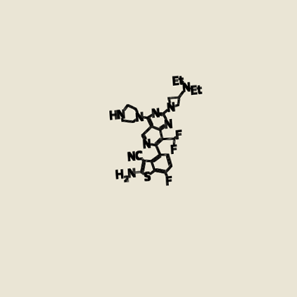 CCN(CC)C1CN(c2nc(N3CCNCC3)c3cnc(-c4ccc(F)c5sc(N)c(C#N)c45)c(C(F)F)c3n2)C1